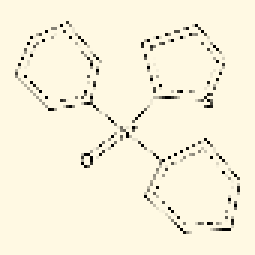 O=[S+](c1ccccc1)(c1ccccc1)c1cccs1